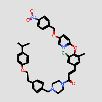 Cc1cc(/C=C/C(=O)N2CCN(Cc3ccc(CCOc4ccc(C(C)C)cc4)cc3)CC2)cc(Cl)c1Oc1ccc(OCc2ccc([N+](=O)[O-])cc2)cn1